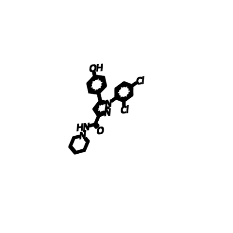 O=C(NN1CCCCC1)c1cc(-c2ccc(O)cc2)n(-c2ccc(Cl)cc2Cl)n1